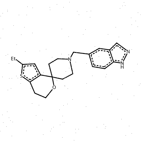 CCc1cc2c(s1)CCOC21CCN(Cc2ccc3[nH]ncc3c2)CC1